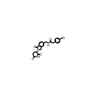 CC(C)c1ccc(CC(=O)NCc2ccc3c(c2)CN(C2CCC(=O)NC2=O)C3=O)cc1